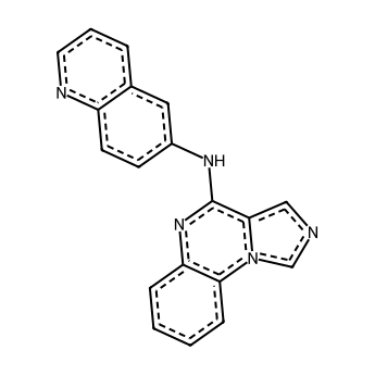 c1cnc2ccc(Nc3nc4ccccc4n4cncc34)cc2c1